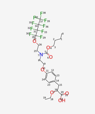 CCCCOC(=O)N(CCOc1ccc(CC(OCC)C(=O)O)cc1)CCOC(F)(F)C(F)(F)C(F)(F)C(F)(F)F